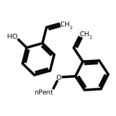 C=Cc1ccccc1O.C=Cc1ccccc1OCCCCC